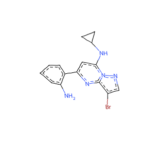 Nc1ccccc1-c1cc(NC2CC2)n2ncc(Br)c2n1